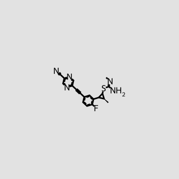 C/N=C(/N)SC1C(c2cc(C#Cc3cnc(C#N)cn3)ccc2F)[C@@H]1C